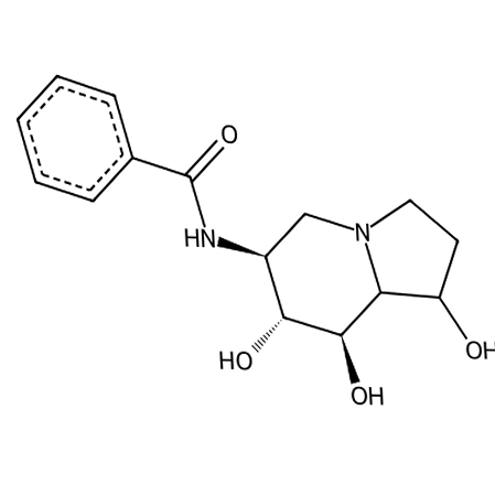 O=C(N[C@H]1CN2CCC(O)C2[C@@H](O)[C@@H]1O)c1ccccc1